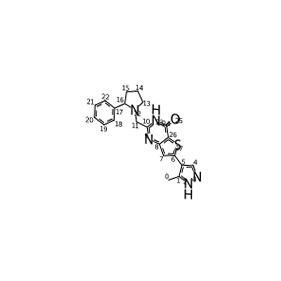 Cc1[nH]ncc1-c1cc2nc(CN3CCCC3c3ccccc3)[nH]c(=O)c2s1